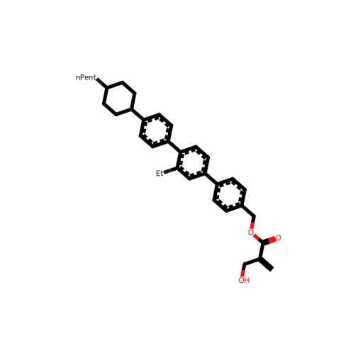 C=C(CO)C(=O)OCc1ccc(-c2ccc(-c3ccc(C4CCC(CCCCC)CC4)cc3)c(CC)c2)cc1